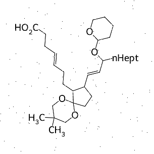 CCCCCCCC(C=CC1CCC2(OCC(C)(C)CO2)C1CCC=CCCC(=O)O)OC1CCCCO1